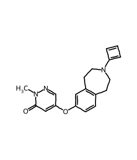 Cn1ncc(Oc2ccc3c(c2)CCN(C2=CC=C2)CC3)cc1=O